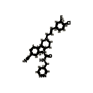 N#Cc1ccc2c3c(n(C(=O)NCc4ccnnc4)c2c1)CCN(CC=Cc1ccc(Cl)c(F)c1)C3